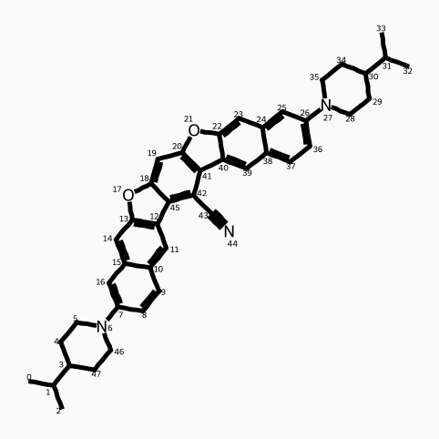 CC(C)C1CCN(c2ccc3cc4c(cc3c2)oc2cc3oc5cc6cc(N7CCC(C(C)C)CC7)ccc6cc5c3c(C#N)c24)CC1